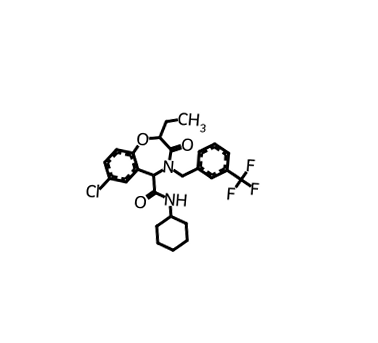 CCC1Oc2ccc(Cl)cc2C(C(=O)NC2CCCCC2)N(Cc2cccc(C(F)(F)F)c2)C1=O